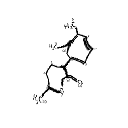 Cc1cccc(C2CCC(C)OC2=O)c1C